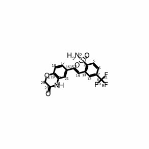 NS(=O)(=O)c1ccc(C(F)(F)F)cc1C=Cc1ccc2c(c1)NC(=O)CO2